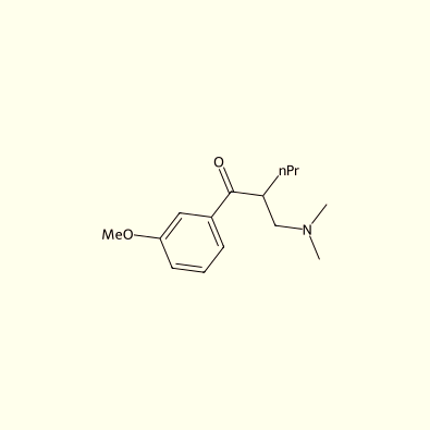 CCCC(CN(C)C)C(=O)c1cccc(OC)c1